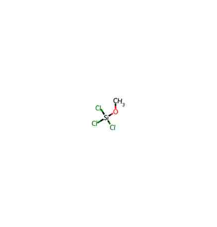 CO[Si](Cl)(Cl)Cl